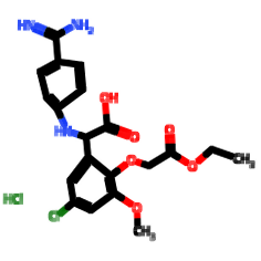 CCOC(=O)COc1c(OC)cc(Cl)cc1C(Nc1ccc(C(=N)N)cc1)C(=O)O.Cl